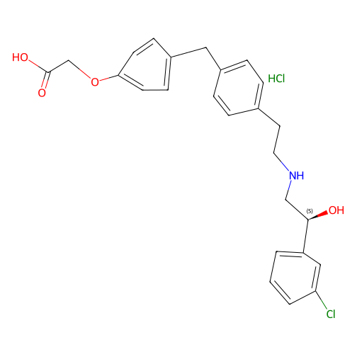 Cl.O=C(O)COc1ccc(Cc2ccc(CCNC[C@@H](O)c3cccc(Cl)c3)cc2)cc1